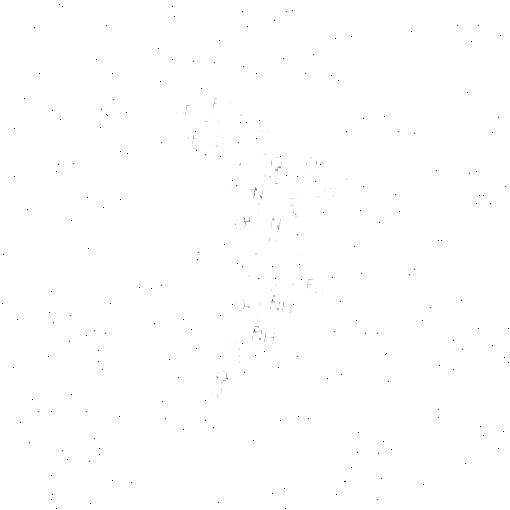 CCOC(=O)c1cn(-c2ccc(NC(=O)NCCOC)c(F)c2)c(=O)n(Cc2cccc(C(F)(F)F)c2C)c1=O